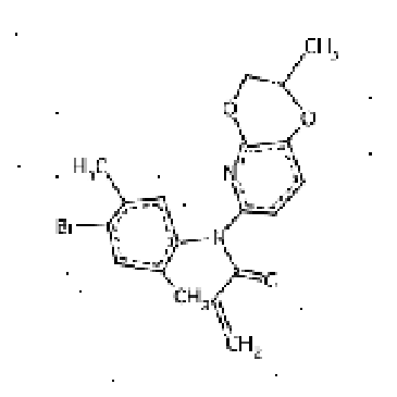 C=CC(=O)N(c1ccc2c(n1)OCC(C)O2)c1cc(C)c(Br)cc1C